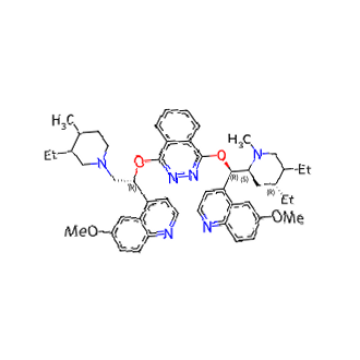 CCC1CN(C[C@H](Oc2nnc(O[C@H](c3ccnc4ccc(OC)cc34)[C@@H]3C[C@@H](CC)C(CC)CN3C)c3ccccc23)c2ccnc3ccc(OC)cc23)CCC1C